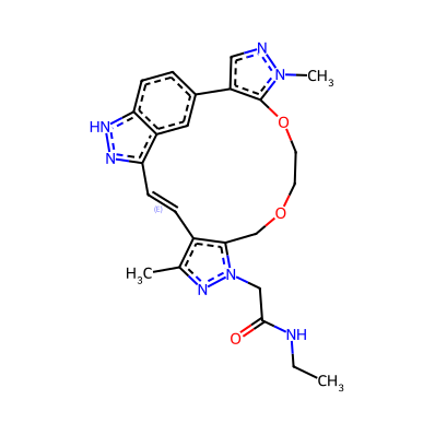 CCNC(=O)Cn1nc(C)c2c1COCCOc1c(cnn1C)-c1ccc3[nH]nc(c3c1)/C=C/2